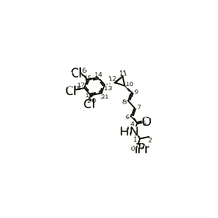 CC(C)C(C)NC(=O)C=CC=C[C@@H]1C[C@H]1c1cc(Cl)c(Cl)c(Cl)c1